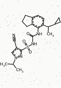 CC(c1ccc2c(c1NC(=O)NS(=O)(=O)c1nn(C(C)C)cc1C#N)CCC2)C1CC1